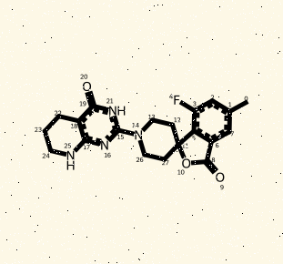 Cc1cc(F)c2c(c1)C(=O)OC21CCN(c2nc3c(c(=O)[nH]2)CCCN3)CC1